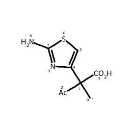 [CH2]C(C(C)=O)(C(=O)O)c1csc(N)n1